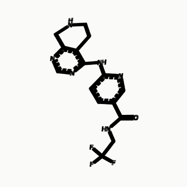 O=C(NCC(F)(F)F)c1ccc(Nc2ncnc3c2CCNC3)nc1